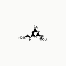 CCCCCCCCCCCNc1cc(CCC)nc(NCCCCCCCC)n1